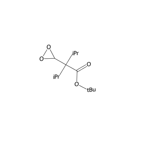 CC(C)C(C(=O)OC(C)(C)C)(C(C)C)C1OO1